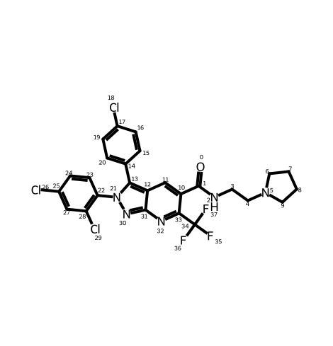 O=C(NCCN1CCCC1)c1cc2c(-c3ccc(Cl)cc3)n(-c3ccc(Cl)cc3Cl)nc2nc1C(F)(F)F